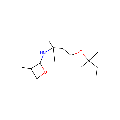 CCC(C)(C)OCCC(C)(C)NC1OCC1C